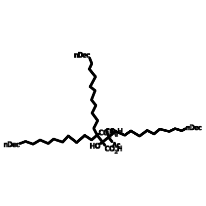 CCCCCCCCCCCCCCCCCCCCC(CCCCCCCCCCCCCCCCCCCC)(C(=O)O)C(O)(C(=O)O)C(CCCCCCCCCCCCCCCCCCCC)(C(C)=O)C(=O)O